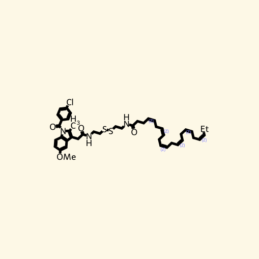 CC/C=C\C/C=C\C/C=C\C/C=C\C/C=C\C/C=C\CCC(=O)NCCSSCCNC(=O)Cc1c(C)n(C(=O)c2ccc(Cl)cc2)c2ccc(OC)cc12